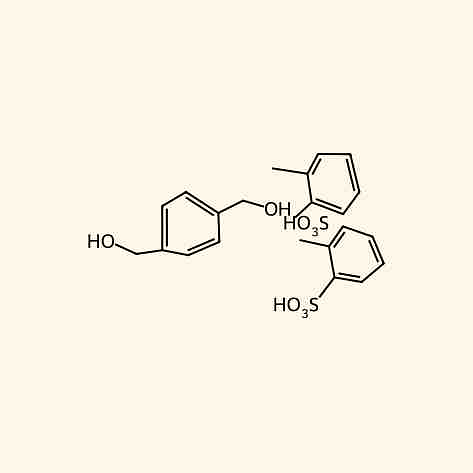 Cc1ccccc1S(=O)(=O)O.Cc1ccccc1S(=O)(=O)O.OCc1ccc(CO)cc1